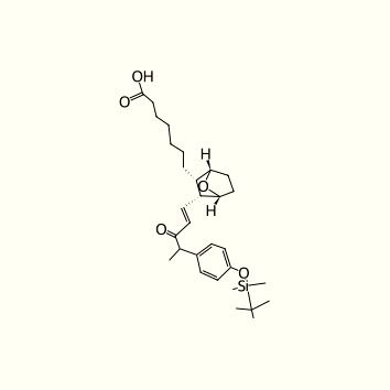 CC(C(=O)C=C[C@@H]1[C@H](CCCCCCC(=O)O)[C@@H]2CC[C@H]1O2)c1ccc(O[Si](C)(C)C(C)(C)C)cc1